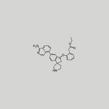 CCOC(=O)Cc1ccccc1O[C@H]1CC2(CCNCC2)c2ccc(-c3cccc4c(N)nccc34)cc21